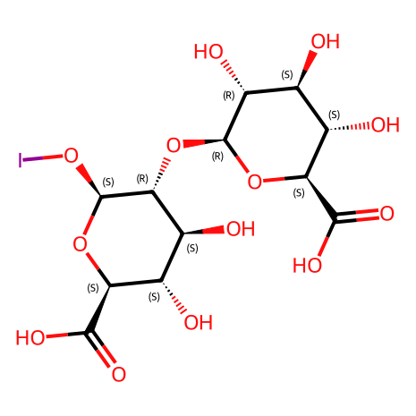 O=C(O)[C@H]1O[C@@H](O[C@H]2[C@H](OI)O[C@H](C(=O)O)[C@@H](O)[C@@H]2O)[C@H](O)[C@@H](O)[C@@H]1O